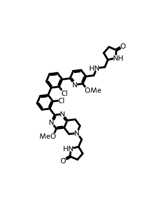 COc1nc(-c2cccc(-c3cccc(-c4nc5c(c(OC)n4)CN(CC4CCC(=O)N4)CC5)c3Cl)c2Cl)ccc1CNCC1CCC(=O)N1